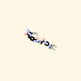 CC1CNC(=O)c2cc3ccc(C(=O)Nc4nc(C(=O)N5CCC(N(C)C)CC5)cs4)cc3n21